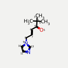 CC(C)(C)C(=O)/C=C/Cn1ccnc1